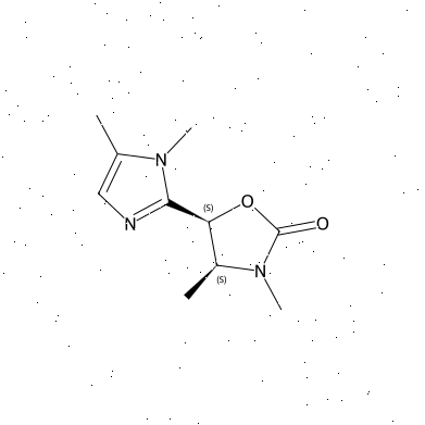 Cc1cnc([C@H]2OC(=O)N(C)[C@H]2C)n1C